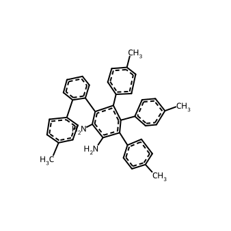 Cc1ccc(-c2ccccc2-c2c(N)c(N)c(-c3ccc(C)cc3)c(-c3ccc(C)cc3)c2-c2ccc(C)cc2)cc1